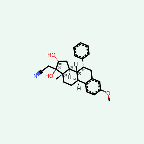 COc1ccc2c(c1)C[C@@H](c1ccccc1)[C@@H]1[C@@H]2CC[C@@]2(C)[C@H]1C[C@@H](O)[C@@]2(O)CC#N